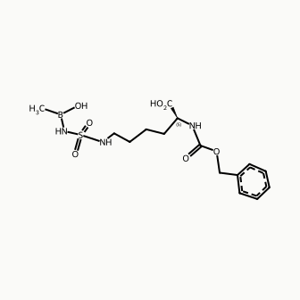 CB(O)NS(=O)(=O)NCCCC[C@H](NC(=O)OCc1ccccc1)C(=O)O